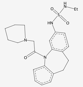 CCNS(=O)(=O)Nc1ccc2c(c1)N(C(=O)CN1CCCCC1)c1ccccc1CC2